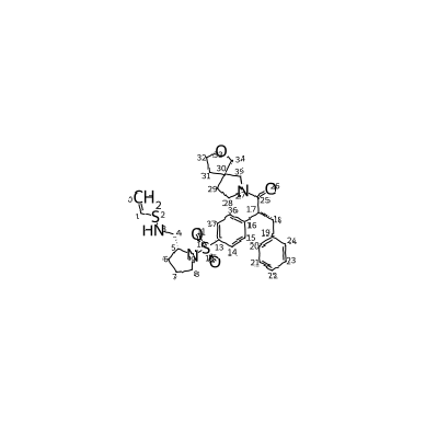 C=CSNC[C@H]1CCCN1S(=O)(=O)c1ccc(C(Cc2ccccc2)C(=O)N2CCC3(CCOC3)C2)cc1